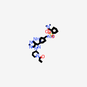 C=CC(=O)N1CCC[C@@H](n2nc(-c3ccc(CNS(=O)(=O)c4ccccc4C(=O)N(C)C)cc3)c3c(N)ncnc32)C1